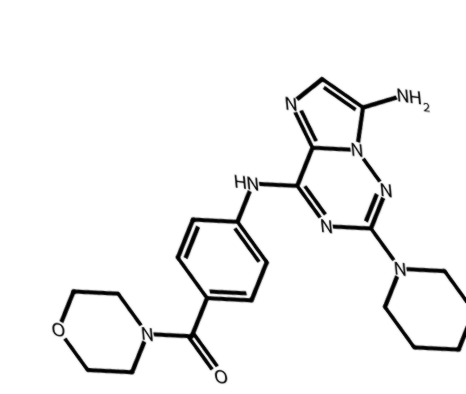 Nc1cnc2c(Nc3ccc(C(=O)N4CCOCC4)cc3)nc(N3CCCCC3)nn12